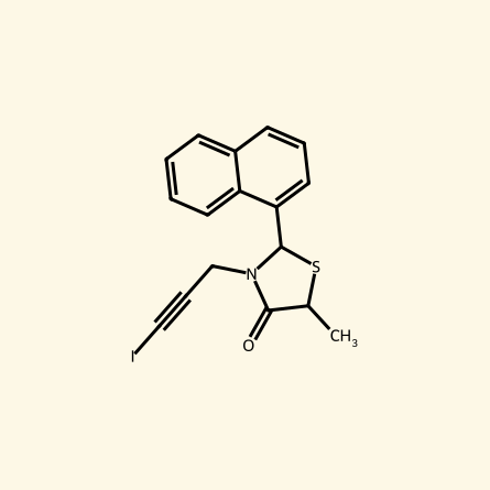 CC1SC(c2cccc3ccccc23)N(CC#CI)C1=O